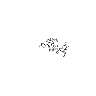 Cc1nc2c(OC3CC3)cc(C(=O)NCC(O)(c3cc4c(c(-c5ccc(F)cc5)n3)OC[C@]4(C)C(N)=O)C(F)(F)F)cc2cc1Cl